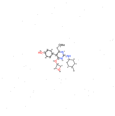 COCc1nc(NC2CCC(C)CC2)nc(OC2COC2)c1-c1ccc(O)cc1